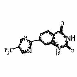 O=c1[nH]c(=O)c2ccc(-c3ncc(C(F)(F)F)cn3)cc2[nH]1